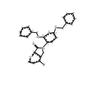 O=C1c2cccc(Br)c2CN1c1ccc(OCc2ccccc2)nc1OCc1ccccc1